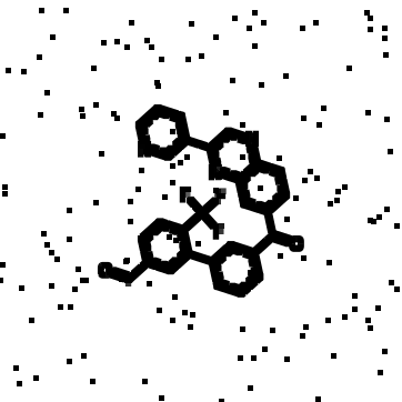 O=[C]c1ccc(C(F)(F)F)c(-c2cccc(C(=O)c3ccc4ncc(-c5cccnc5)nc4c3)c2)c1